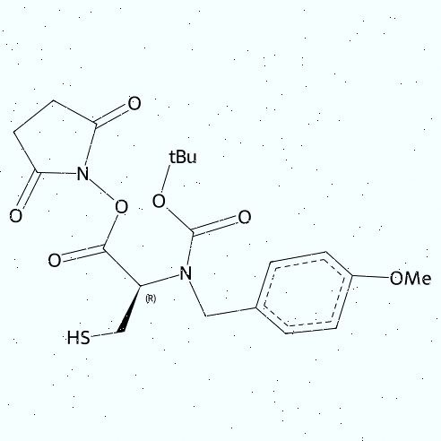 COc1ccc(CN(C(=O)OC(C)(C)C)[C@@H](CS)C(=O)ON2C(=O)CCC2=O)cc1